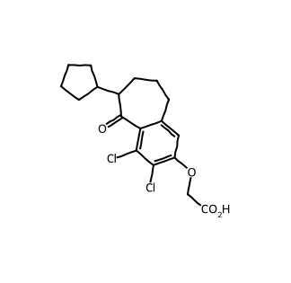 O=C(O)COc1cc2c(c(Cl)c1Cl)C(=O)C(C1CCCC1)CCC2